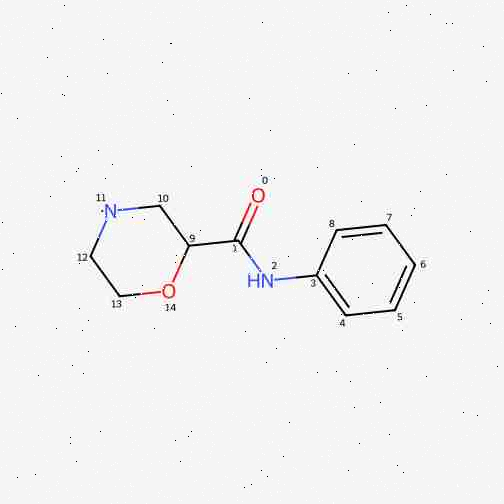 O=C(Nc1ccccc1)C1C[N]CCO1